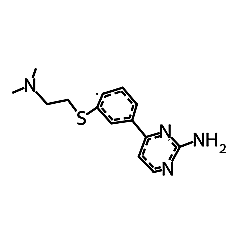 CN(C)CCSc1[c]ccc(-c2ccnc(N)n2)c1